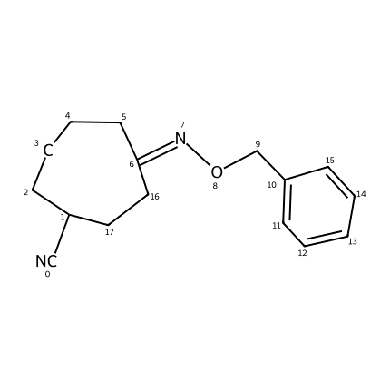 N#CC1CCCCC(=NOCc2ccccc2)CC1